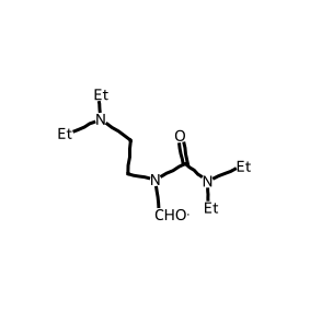 CCN(CC)CCN([C]=O)C(=O)N(CC)CC